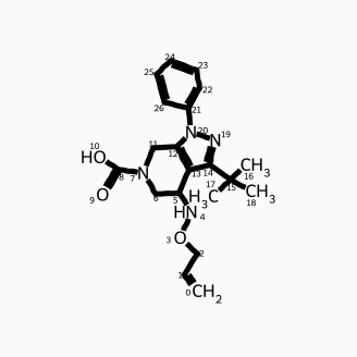 C=CCONC1CN(C(=O)O)Cc2c1c(C(C)(C)C)nn2-c1ccccc1